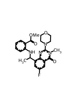 COC(=O)c1ccccc1NC(C)c1cc(F)cc2c(=O)n(C)c(N3CCOCC3)nc12